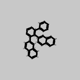 c1ccc(-c2cccc(-c3ccc4ccccc4c3)c2-c2ccc3ccccc3c2)cc1